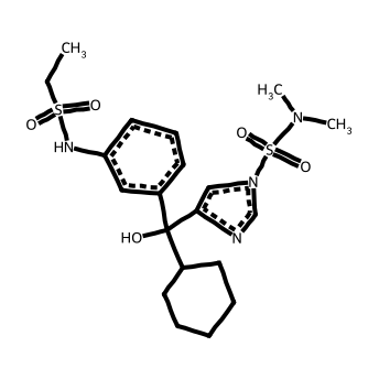 CCS(=O)(=O)Nc1cccc(C(O)(c2cn(S(=O)(=O)N(C)C)cn2)C2CCCCC2)c1